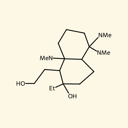 CCC1(O)CCC2C(NC)(NC)CCCC2(NC)C1CCO